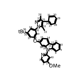 COc1ccnc(-n2c3ccccc3c3ccc(Oc4cc(-n5nc(C)c(-c6ccccc6)c5C)cc(C(C)(C)C)c4)cc32)c1